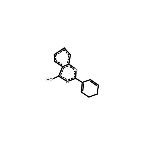 Oc1nc(C2=CCCC=C2)nc2ccccc12